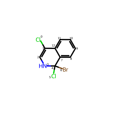 ClC1=CNC(Cl)(Br)c2ccccc21